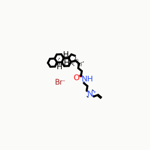 C=CC[N+](C)(C)CCCNC(=O)CC[C@@H](C)[C@H]1CC[C@H]2[C@@H]3CCC4CCCC[C@]4(C)[C@H]3CC[C@]12C.[Br-]